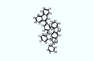 c1ccc(-c2nc3c(N(c4ccccc4)c4ccc(-c5cc6ccccc6c6ccccc56)cc4)c4c(cc3o2)oc2ccccc24)cc1